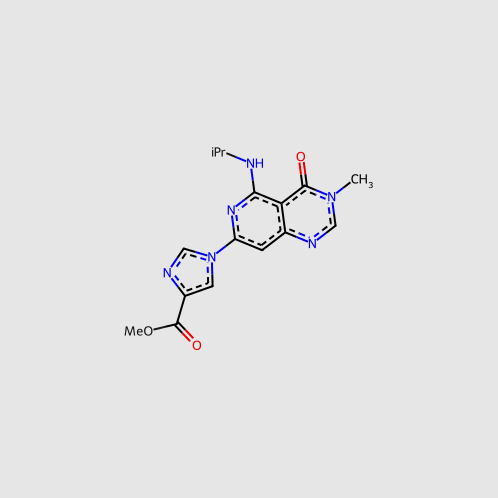 COC(=O)c1cn(-c2cc3ncn(C)c(=O)c3c(NC(C)C)n2)cn1